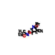 CCO/C(C)=N/OCc1cnc(OC(C)C)c(C#N)c1